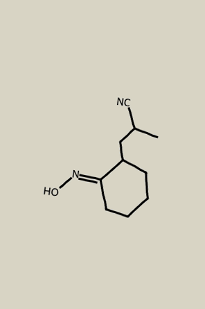 CC(C#N)CC1CCCCC1=NO